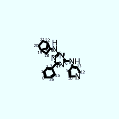 c1ccc(-c2nc(Nc3ccncc3)nc(NC3CC4CCC3C4)n2)cc1